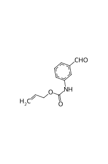 C=CCOC(=O)Nc1cccc(C=O)c1